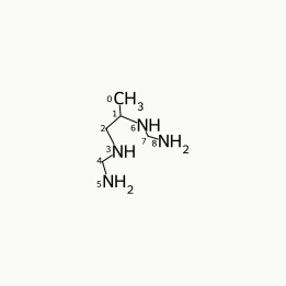 CC(CNCN)NCN